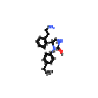 NCCc1ccccc1C1CNC(=O)N1c1ccc(CC(=O)O)cc1